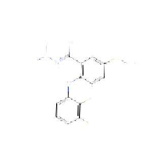 CNSc1ccc(Nc2cccc(F)c2F)c(/C(N)=N/N(C)N)c1